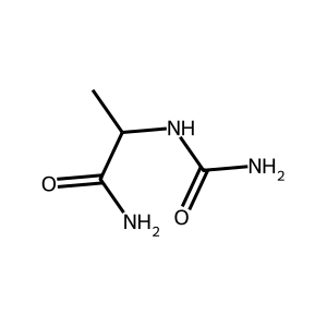 CC(NC(N)=O)C(N)=O